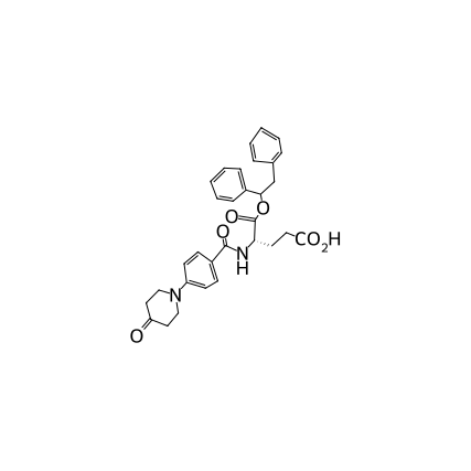 O=C(O)CC[C@H](NC(=O)c1ccc(N2CCC(=O)CC2)cc1)C(=O)OC(Cc1ccccc1)c1ccccc1